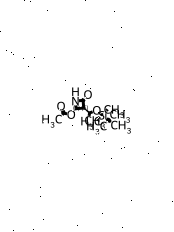 CC(=O)O[C@@H]1NC(=O)[C@H]1C(C)O[Si](C)(C)C(C)(C)C